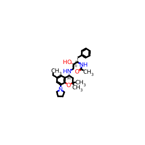 CCc1cc2c(c(N3CCCC3)c1)OC(C)(C)C[C@H]2NC[C@H](O)[C@H](Cc1ccccc1)NC(C)=O